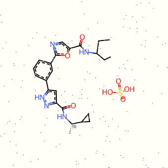 CCC(CC)NC(=O)c1cnc(-c2cccc(-c3cc(C(=O)N[C@@H](C)C4CC4)n[nH]3)c2)o1.O=S(=O)(O)O